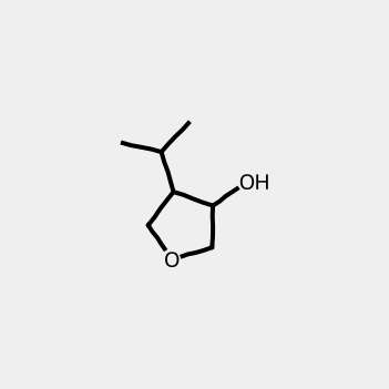 CC(C)C1COCC1O